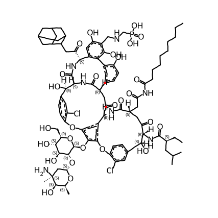 CCCCCCCCCC(=O)NC(=O)C[C@@H]1CC(=O)[C@H](NC(=O)[C@@H](CC)CC(C)C)[C@H](O)c2ccc(c(Cl)c2)Oc2cc3cc(c2O[C@@H]2O[C@H](CO)[C@@H](O)[C@H](O)[C@H]2O[C@H]2C[C@](C)(N)[C@H](O)[C@H](C)O2)Oc2ccc(cc2Cl)[C@@H](O)[C@@H]2NC(=O)[C@H](CC(=O)[C@@H]3NC1=O)c1ccc(O)c(c1)-c1c(cc(O)c(CNCP(=O)(O)O)c1O)[C@@H](C(=O)CC1C3CC4CC(C3)CC1C4)NC2=O